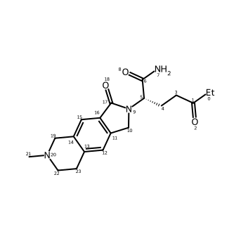 CCC(=O)CC[C@@H](C(N)=O)N1Cc2cc3c(cc2C1=O)CN(C)CC3